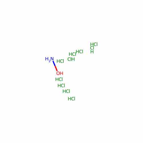 Cl.Cl.Cl.Cl.Cl.Cl.Cl.Cl.Cl.Cl.NO